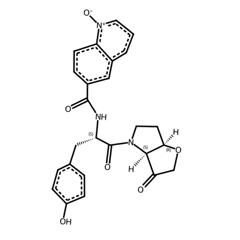 O=C(N[C@@H](Cc1ccc(O)cc1)C(=O)N1CC[C@H]2OCC(=O)[C@H]21)c1ccc2c(ccc[n+]2[O-])c1